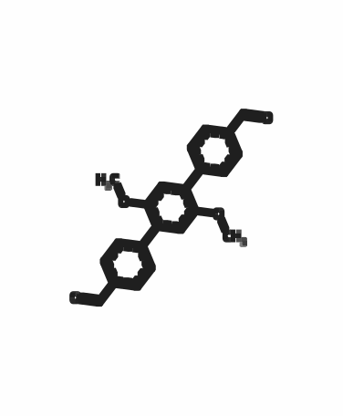 COc1cc(-c2ccc(C=O)cc2)c(OC)cc1-c1ccc(C=O)cc1